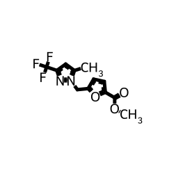 COC(=O)c1ccc(Cn2nc(C(F)(F)F)cc2C)o1